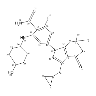 CC1(C)CC(=O)c2c(CC3CC3)nn(-c3cc(F)c(C(N)=O)c(NC4CCC(O)CC4)c3)c2C1